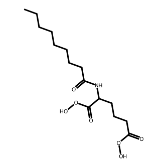 CCCCCCCCC(=O)NC(CCCC(=O)OO)C(=O)OO